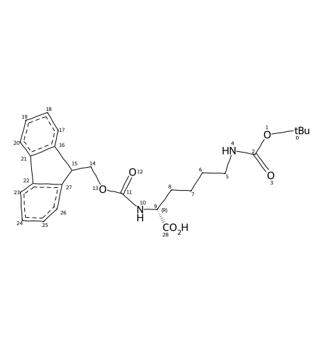 CC(C)(C)OC(=O)NCCCC[C@@H](NC(=O)OCC1c2ccccc2-c2ccccc21)C(=O)O